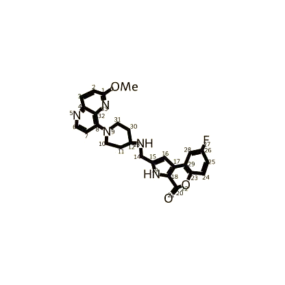 COc1ccc2nccc(N3CCC(NCc4cc5c([nH]4)c(=O)oc4ccc(F)cc45)CC3)c2n1